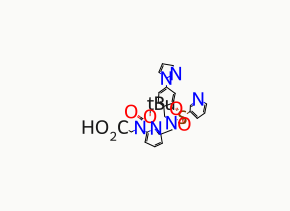 CC(C)(C)OC(=O)N(CC(=O)O)c1cccc(CN(Cc2ccc(-n3cccn3)cc2)S(=O)(=O)c2cccnc2)n1